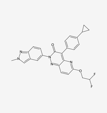 Cn1cc2cc(-n3nc4ccc(OCC(F)F)nc4c(-c4ccc(C5CC5)cc4)c3=O)ccc2n1